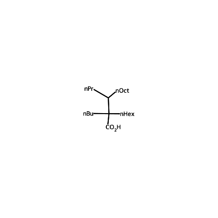 CCCCCCCCC(CCC)C(CCCC)(CCCCCC)C(=O)O